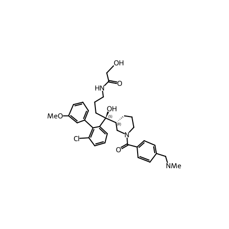 CNCc1ccc(C(=O)N2CCC[C@@H]([C@@](O)(CCCNC(=O)CO)c3cccc(Cl)c3-c3cccc(OC)c3)C2)cc1